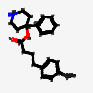 COc1ccc(CCCC(=O)OC2(c3ccccc3)CCNCC2)cc1